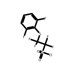 O=S(=O)(Cl)C(F)(F)C(F)(F)Sc1c(F)cccc1F